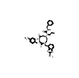 C=CCN(C(=O)NCc1ccccc1)N1CCN(Cc2cccc3sc(N)nc23)C(=O)[C@H](Cc2ccc(N)cc2)NC(=O)C1